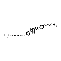 CCCCCCCCCCc1ccc(-c2ncc(OCc3ccc(CCCCC)cc3)cn2)cc1